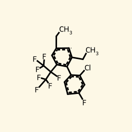 CCc1[c]c(CC)c(-c2ccc(F)cc2Cl)c(C(F)(C(F)(F)F)C(F)(F)F)c1